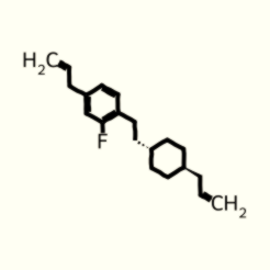 C=CCc1ccc(CC[C@H]2CC[C@H](CC=C)CC2)c(F)c1